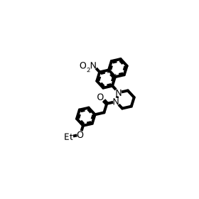 CCOc1cccc(CC(=O)N2CCCCN2c2ccc([N+](=O)[O-])c3ccccc23)c1